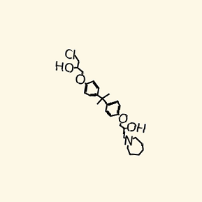 CC(C)(c1ccc(OCC(O)CCl)cc1)c1ccc(OCC(O)CN2CCCCCC2)cc1